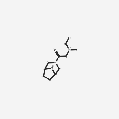 CCN(C)CC(=O)N1CC2CCC(C1)O2